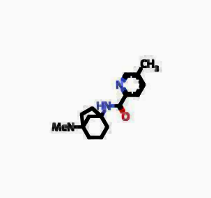 CNC12CCCC(NC(=O)c3ccc(C)cn3)(CC1)C2